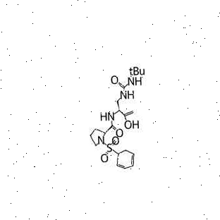 C=C(O)[C@H](CNC(=O)NC(C)(C)C)NC(=O)[C@@H]1CCCN1S(=O)(=O)C1C=CC=CC1